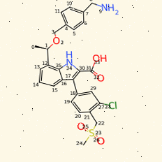 C[C@@H](OCc1ccc(CN)cc1)c1cccc2c(-c3ccc(CS(C)(=O)=O)c(Cl)c3)c(C(=O)O)[nH]c12